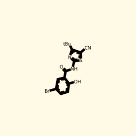 CC(C)(C)c1nc(NC(=O)c2cc(Br)ccc2O)sc1C#N